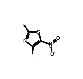 O=[N+]([O-])c1sc(I)nc1I